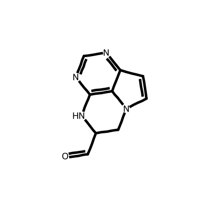 O=CC1Cn2ccc3ncnc(c32)N1